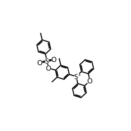 Cc1ccc(S(=O)(=O)Oc2c(C)cc([S+]3c4ccccc4Oc4ccccc43)cc2C)cc1